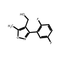 Cc1onc(-c2cc(F)ccc2F)c1CO